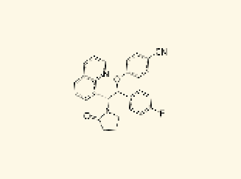 N#Cc1ccc(O[C@@H](c2ccc(F)cc2)[C@@H](c2cccc3cccnc23)N2CCCC2=O)cc1